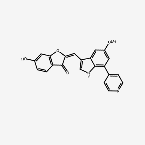 COc1cc(-c2ccncc2)c2[nH]cc(C=C3Oc4cc(O)ccc4C3=O)c2c1